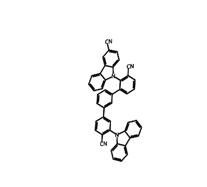 N#Cc1ccc2c(c1)c1ccccc1n2-c1c(C#N)cccc1-c1cccc(-c2ccc(C#N)c(-n3c4ccccc4c4ccccc43)c2)c1